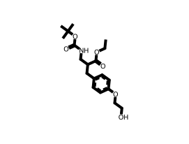 CCOC(=O)C(CNC(=O)OC(C)(C)C)Cc1ccc(OCCO)cc1